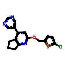 Clc1ccc(COc2cc(-c3cncnc3)c3c(n2)CCC3)s1